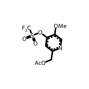 COc1cnc(COC(C)=O)cc1OS(=O)(=O)C(F)(F)F